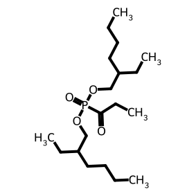 CCCCC(CC)COP(=O)(OCC(CC)CCCC)C(=O)CC